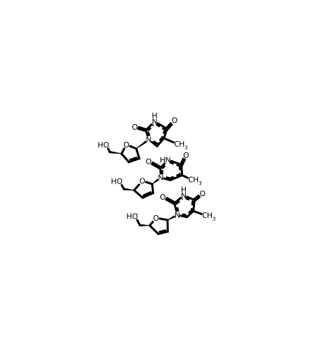 Cc1cn([C@H]2C=C[C@@H](CO)O2)c(=O)[nH]c1=O.Cc1cn([C@H]2C=C[C@@H](CO)O2)c(=O)[nH]c1=O.Cc1cn([C@H]2C=C[C@@H](CO)O2)c(=O)[nH]c1=O